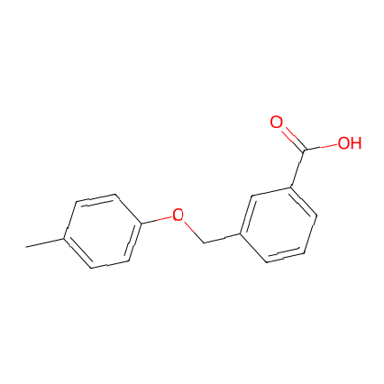 Cc1ccc(OCc2cccc(C(=O)O)c2)cc1